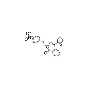 O=C(OCCc1ccc([N+](=O)[O-])cc1)c1ccccc1C(=O)c1cccs1